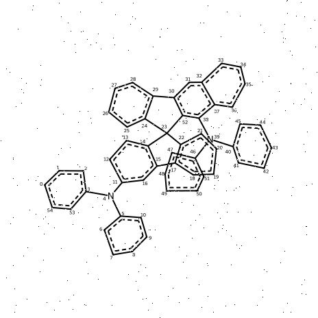 c1ccc(N(c2ccccc2)c2ccc3c(c2)-c2ccccc2C32c3ccccc3-c3cc4ccccc4c(N(c4ccccc4)c4ccccc4)c32)cc1